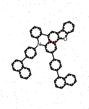 c1cc(-c2ccc(-c3cccc4ccccc34)cc2)cc(N(c2ccc(-c3cccc4ccccc34)cc2)c2ccccc2-c2ccc3oc4ccccc4c3c2)c1